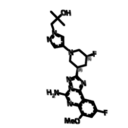 COc1cc(F)cc2c1nc(N)n1nc([C@@H]3C[C@H](F)CN(c4cnn(CC(C)(C)O)c4)C3)nc21